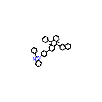 CC12CC=CC=C1C(C1=CC=CCC1)C1(C)C=C(c3ccc(-n4c(-c5ccccc5)nc5ccccc54)cc3)C=CC1=C2c1ccc2ccccc2c1